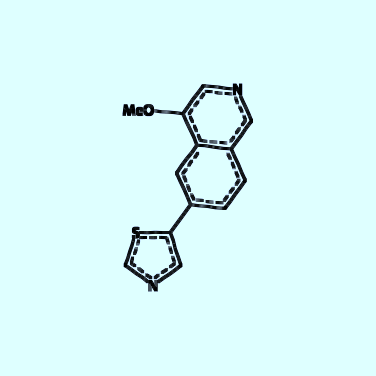 COc1cncc2ccc(-c3cncs3)cc12